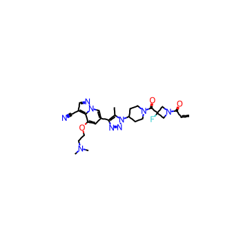 C=CC(=O)N1CC(F)(C(=O)N2CCC(n3nnc(-c4cc(OCCN(C)C)c5c(C#N)cnn5c4)c3C)CC2)C1